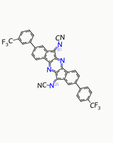 N#C/N=c1/c2cc(-c3ccc(C(F)(F)F)cc3)ccc2c2nc3/c(=N/C#N)c4cc(-c5cccc(C(F)(F)F)c5)ccc4c3nc12